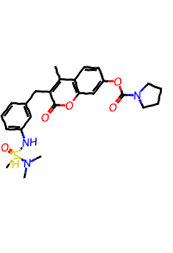 Cc1c(Cc2cccc(N[SH](C)(=O)N(C)C)c2)c(=O)oc2cc(OC(=O)N3CCCC3)ccc12